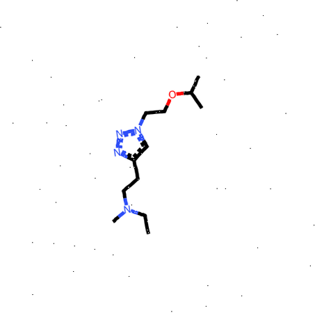 CCN(C)CCc1cn(CCOC(C)C)nn1